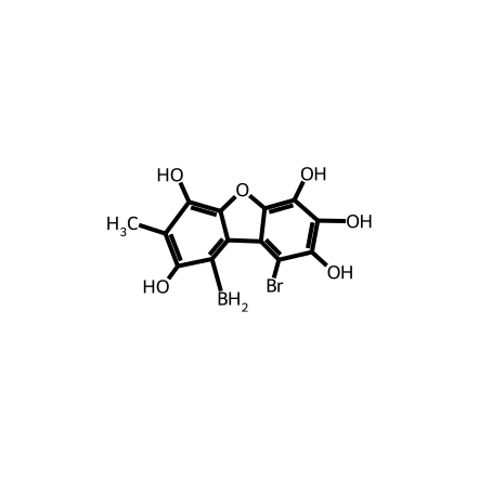 Bc1c(O)c(C)c(O)c2oc3c(O)c(O)c(O)c(Br)c3c12